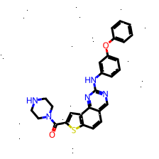 O=C(c1cc2c(ccc3cnc(Nc4cccc(Oc5ccccc5)c4)nc32)s1)N1CCNCC1